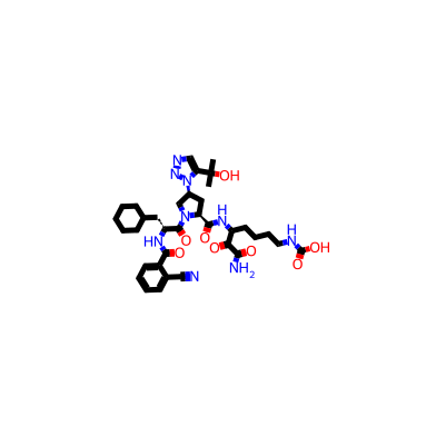 CC(C)(O)c1cnnn1[C@H]1C[C@@H](C(=O)NC(CCCCNC(=O)O)C(=O)C(N)=O)N(C(=O)[C@@H](CC2CCCCC2)NC(=O)c2ccccc2C#N)C1